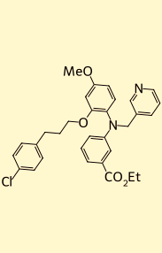 CCOC(=O)c1cccc(N(Cc2cccnc2)c2ccc(OC)cc2OCCCc2ccc(Cl)cc2)c1